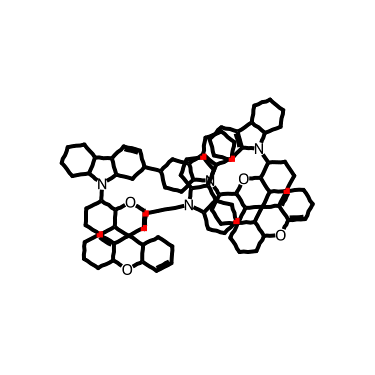 C1=CC2OC3CCCC=C3C3(C2CC1)C1CCC(N2C4CCCCC4C4CCCCC42)CC1OC1C(N2C4CC(C5CCC6C(C5)C5CCCCC5N6C5CCCC6C5OC5C(N7C8=C(CCCC8)C8CCCCC87)CCCC5C65C6=CCCC=C6OC6CCCCC65)C=CC4C4CCCCC42)CCCC13